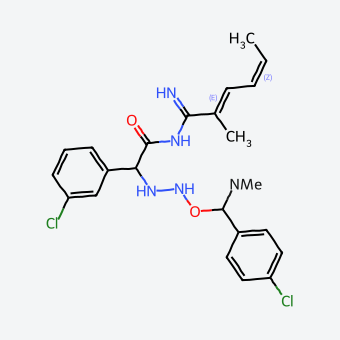 C/C=C\C=C(/C)C(=N)NC(=O)C(NNOC(NC)c1ccc(Cl)cc1)c1cccc(Cl)c1